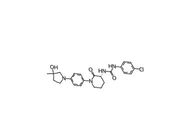 CC1(O)CCN(c2ccc(N3CCC[C@@H](NC(=O)Nc4ccc(Cl)cc4)C3=O)cc2)C1